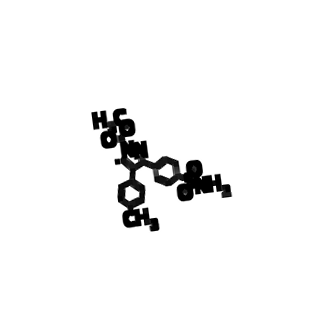 COC(=O)n1[c]c(-c2ccc(C)cc2)c(-c2ccc(S(N)(=O)=O)cc2)n1